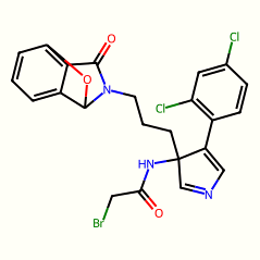 O=C(CBr)NC1(CCCN2C(=O)c3c4cccc3C2O4)C=NC=C1c1ccc(Cl)cc1Cl